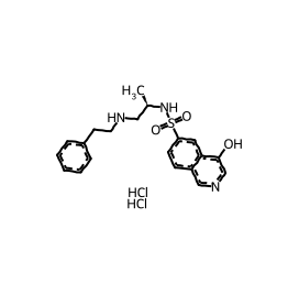 C[C@H](CNCCc1ccccc1)NS(=O)(=O)c1ccc2cncc(O)c2c1.Cl.Cl